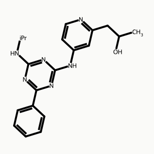 CC(O)Cc1cc(Nc2nc(NC(C)C)nc(-c3ccccc3)n2)ccn1